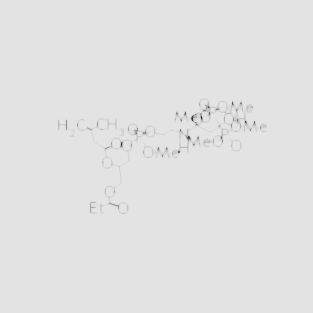 C=C(C)CC(=O)OC(COC(=O)CC)COP(=O)(OC)OCCNC(=O)CC(O)(P(=O)(OC)OC)P(=O)(OC)OC